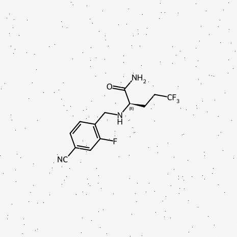 N#Cc1ccc(CN[C@H](CCC(F)(F)F)C(N)=O)c(F)c1